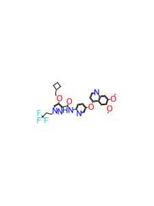 COc1cc2nccc(Oc3ccc(NC(=O)c4nn(CCC(F)(F)F)cc4OCC4CCC4)nc3)c2cc1OC